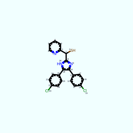 SC(c1ccccn1)c1nc(-c2ccc(Cl)cc2)c(-c2ccc(Cl)cc2)[nH]1